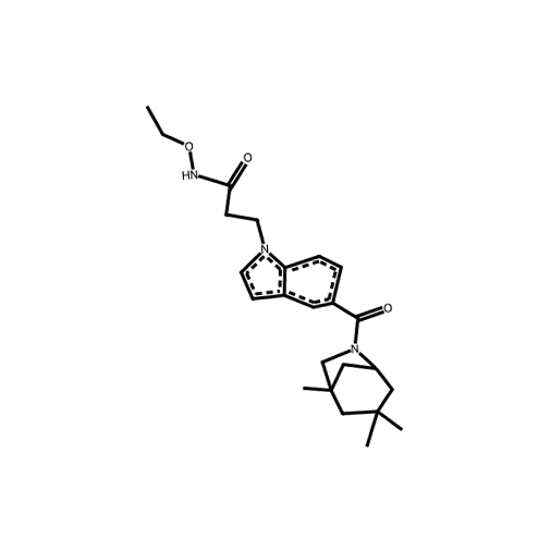 CCONC(=O)CCn1ccc2cc(C(=O)N3CC4(C)CC3CC(C)(C)C4)ccc21